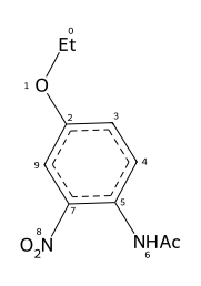 CCOc1ccc(NC(C)=O)c([N+](=O)[O-])c1